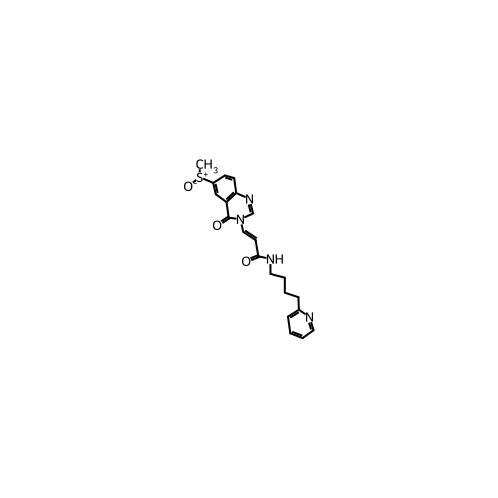 C[S+]([O-])c1ccc2ncn(C=CC(=O)NCCCCc3ccccn3)c(=O)c2c1